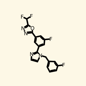 Fc1cccc(Cn2ccnc2-c2cc(F)cc(-c3nnc(C(F)F)o3)c2)c1